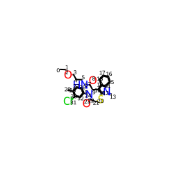 CCOCCCNC(=O)C1c2c(n(C)c3ccccc23)SCC(=O)N1c1ccc(C)c(Cl)c1